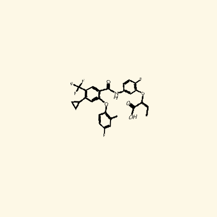 CCC(Oc1cc(NC(=O)c2cc(C(F)(F)F)c(C3CC3)cc2Oc2ccc(F)cc2C)ccc1F)C(=O)O